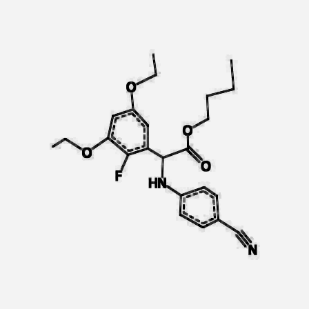 CCCCOC(=O)C(Nc1ccc(C#N)cc1)c1cc(OCC)cc(OCC)c1F